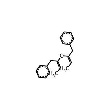 CC=C(Cc1ccccc1)OC(=CC)Cc1ccccc1